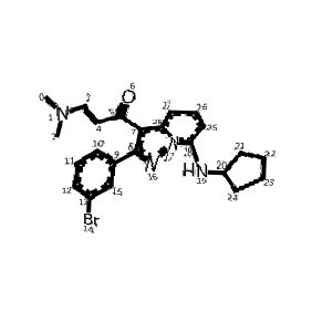 CN(C)C=CC(=O)c1c(-c2cccc(Br)c2)nn2c(NC3CCCC3)cccc12